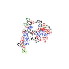 C#CCOc1cc(-n2nc3n(c2=O)CCCC3)c(Cl)cc1Cl.CCS(=O)(=O)c1cccnc1S(=O)(=O)NC(=O)Nc1nc(OC)cc(OC)n1.COc1nc(C)nc(NC(=O)NS(=O)(=O)c2ccccc2CCC(F)(F)F)n1.O=C(O)CNCP(=O)(O)O